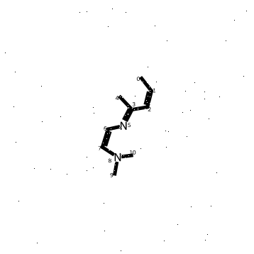 C\C=C/C(C)=N/C=C\N(C)C